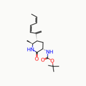 C=C(/C=C\C=C/C)[C@@H]1C[C@H](NC(=O)OC(C)(C)C)C(=O)N[C@H]1C